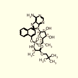 C[C@H](NP(=O)(Oc1cccc2ccccc12)O[C@@H](C)[C@H]1O[C@@H](n2cnc3c(N)ncnc32)[C@H](O)[C@@H]1O)C(=O)OCC(C)(C)C